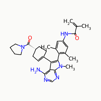 C=C(C)C(=O)Nc1cc(C)c(-c2c(C3=CC[C@H](C(=O)N4CCCC4)CC3)c3c(N)ncnc3n2C)c(C)c1